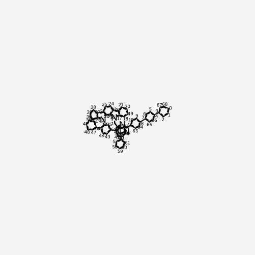 c1ccc(-c2ccc(-c3ccc(-c4nc(Cn5c6ccccc6c6ccc7c8ccccc8n(-c8cc(-c9ccccc9)ccc8-c8ccccc8)c7c65)nc(-c5ccccc5)n4)cc3)cc2)cc1